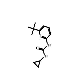 CC(C)(C)c1cccc(NC(=O)NC2CC2)n1